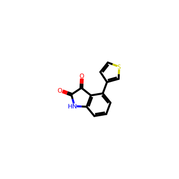 O=C1Nc2cccc(-c3ccsc3)c2C1=O